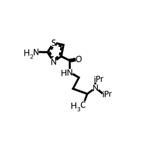 CC(C)N(C(C)C)C(C)CCNC(=O)c1csc(N)n1